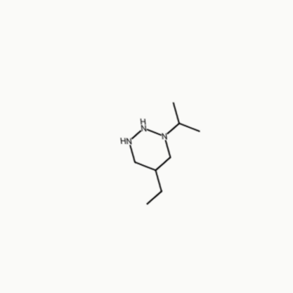 CCC1CNNN(C(C)C)C1